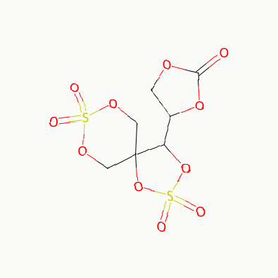 O=C1OCC(C2OS(=O)(=O)OC23COS(=O)(=O)OC3)O1